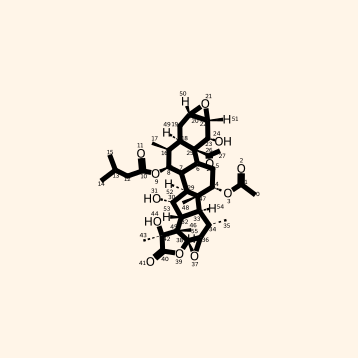 CC(=O)O[C@H]1CC2C([C@@H](OC(=O)CC(C)C)[C@@H](C)[C@H]3C[C@@H]4O[C@@H]4[C@H](O)[C@]23C(C)=O)[C@@H]2[C@@H](O)[C@@H]3[C@H]([C@H](C)[C@H]4O[C@]45OC(=O)[C@@](C)(O)[C@]35C)[C@@]12C